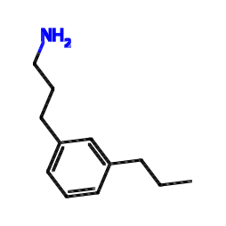 CCCc1cccc(CCCN)c1